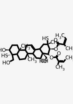 C/C=C(/C)C(=O)O[C@H]1[C@H](OC(=O)/C(C)=C\C)[C@@](C)(S)CC2C3=CCC4[C@@](C)(CCC5[C@]4(C)CC[C@H](O)[C@]5(S)CO)C3C[C@@H](O)[C@]21CO